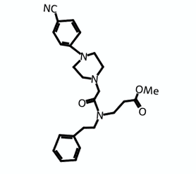 COC(=O)CCN(CCc1ccccc1)C(=O)CN1CCN(c2ccc(C#N)cc2)CC1